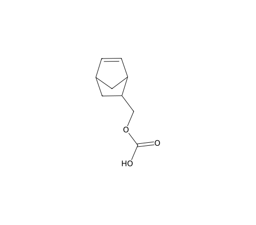 O=C(O)OCC1CC2C=CC1C2